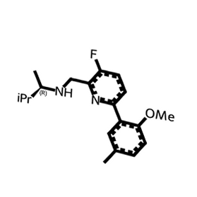 COc1ccc(C)cc1-c1ccc(F)c(CN[C@H](C)C(C)C)n1